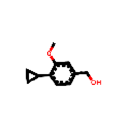 COc1cc([CH]O)ccc1C1CC1